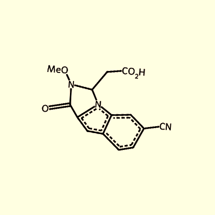 CON1C(=O)c2cc3ccc(C#N)cc3n2C1CC(=O)O